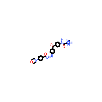 O=C(N=[N+]=Nc1ccc(C(=O)c2ccc(NC(=O)c3nc[nH]n3)cc2)cc1)c1ccc(N2CCOCC2)cc1